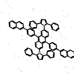 C1=Cc2ccc(-c3ccc(-c4c5ccc(-n6c(-c7ccccc7)ccc6-c6ccccc6)cc5c(-c5ccc(-c6ccc7ccccc7c6)cc5)c5ccc(-n6c(-c7ccccc7)ccc6-c6ccccc6)cc45)cc3)cc2CC1